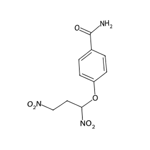 NC(=O)c1ccc(OC(CC[N+](=O)[O-])[N+](=O)[O-])cc1